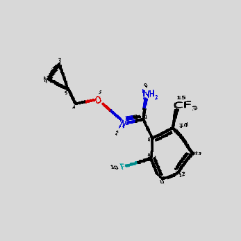 N/C(=N\OCC1CC1)c1c(F)cccc1C(F)(F)F